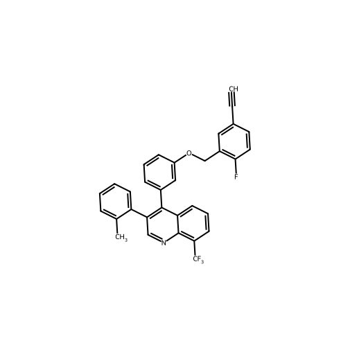 C#Cc1ccc(F)c(COc2cccc(-c3c(-c4ccccc4C)cnc4c(C(F)(F)F)cccc34)c2)c1